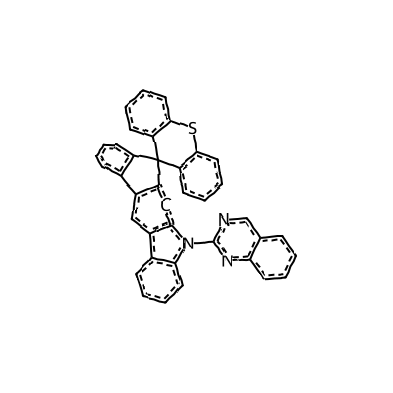 c1ccc2c(c1)Sc1ccccc1C21c2ccccc2-c2cc3c4ccccc4n(-c4ncc5ccccc5n4)c3cc21